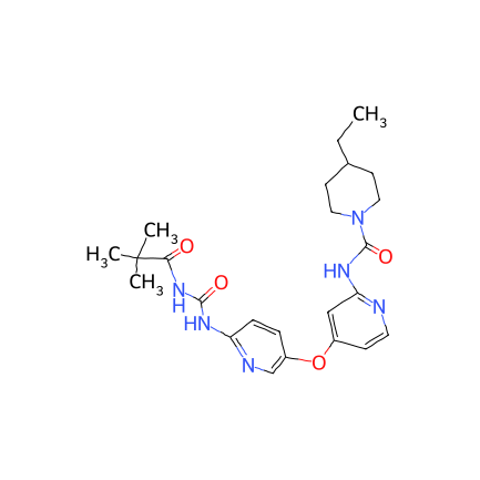 CCC1CCN(C(=O)Nc2cc(Oc3ccc(NC(=O)NC(=O)C(C)(C)C)nc3)ccn2)CC1